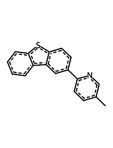 Cc1ccc(-c2ccc3sc4ccccc4c3c2)nc1